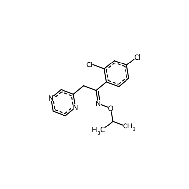 CC(C)ON=C(Cc1cnccn1)c1ccc(Cl)cc1Cl